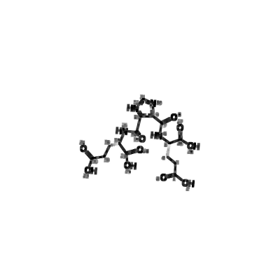 O=C(O)CC[C@H](NC(=O)c1nc[nH]c1C(=O)N[C@@H](CCC(=O)O)C(=O)O)C(=O)O